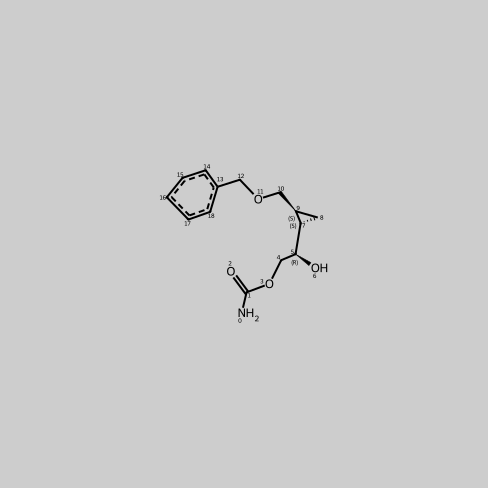 NC(=O)OC[C@H](O)[C@H]1C[C@@H]1COCc1ccccc1